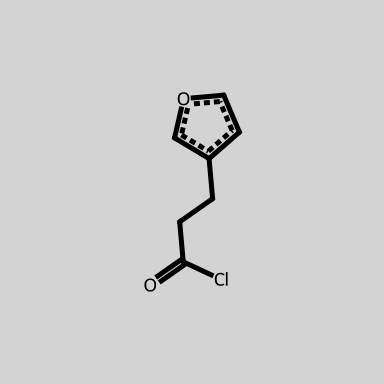 O=C(Cl)CCc1ccoc1